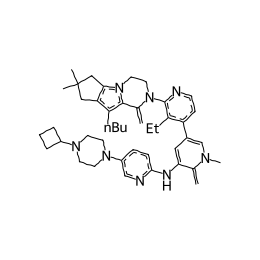 C=C1C(Nc2ccc(N3CCN(C4CCC4)CC3)cn2)=CC(c2ccnc(N3CCn4c5c(c(CCCC)c4C3=C)CC(C)(C)C5)c2CC)=CN1C